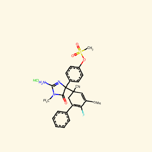 COC1=CC(C#N)(C2(c3ccc(OS(C)(=O)=O)cc3)N=C(N)N(C)C2=O)CC(c2ccccc2)=C1F.Cl